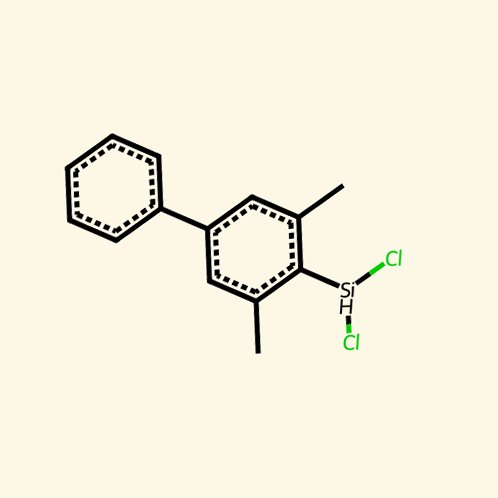 Cc1cc(-c2ccccc2)cc(C)c1[SiH](Cl)Cl